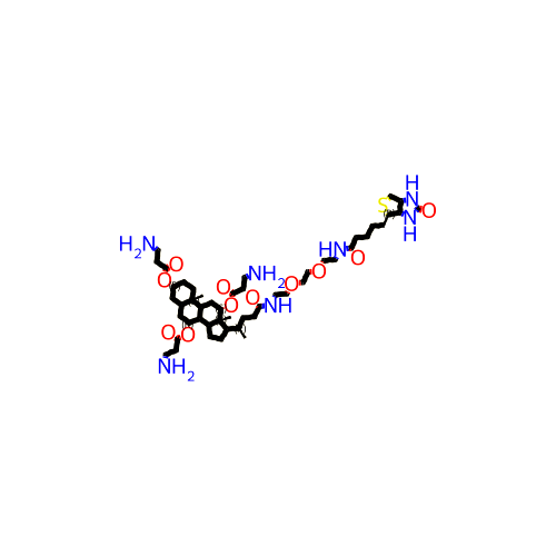 C[C@H](CCC(=O)NCCOCCOCCNC(=O)CCCC[C@H]1SCC2NC(=O)NC21)C1CCC2C3C(C[C@H](OC(=O)CCN)[C@@]21C)[C@@]1(C)CC[C@@H](OC(=O)CCN)CC1C[C@H]3OC(=O)CCN